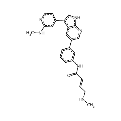 CNC/C=C/C(=O)Nc1cccc(-c2cnc3[nH]cc(-c4ccnc(NC)c4)c3c2)c1